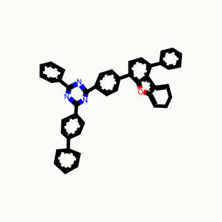 C1=c2oc3c(-c4ccc(-c5nc(-c6ccccc6)nc(-c6ccc(-c7ccccc7)cc6)n5)cc4)ccc(-c4ccccc4)c3c2=CCC1